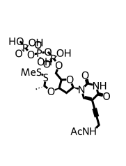 CSS[C@@H](C)O[C@@H]1C[C@H](n2cc(C#CCNC(C)=O)c(=O)[nH]c2=O)OC1COP(=O)(O)OP(=O)(O)OP(=O)(O)O